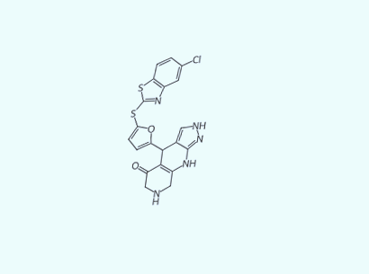 O=C1CNCC2=C1C(c1ccc(Sc3nc4cc(Cl)ccc4s3)o1)c1c[nH]nc1N2